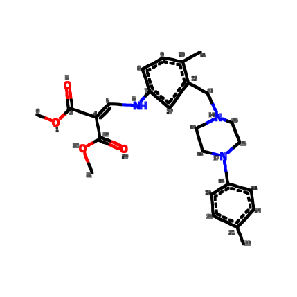 COC(=O)C(=CNc1ccc(C)c(CN2CCN(c3ccc(C)cc3)CC2)c1)C(=O)OC